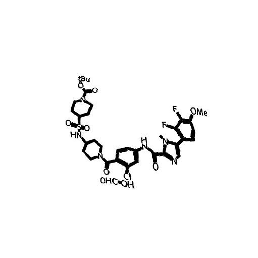 COc1ccc(-c2cnc(C(=O)Nc3ccc(C(=O)N4CCC(NS(=O)(=O)C5CCN(C(=O)OC(C)(C)C)CC5)CC4)c(Cl)c3)n2C)c(F)c1F.O=CO